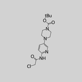 CC(C)(C)OC(=O)N1CCN(c2ccc(NC(=O)CCl)nc2)CC1